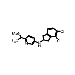 CNC(c1ccc(NC2Cc3ccc(Cl)c(Cl)c3C2)cn1)C(F)(F)F